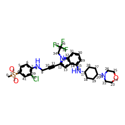 CS(=O)(=O)c1ccc(NCC#Cc2cc3c(N[C@H]4CC[C@@H](N5CCOCC5)CC4)cccc3n2CC(F)(F)F)c(Cl)c1